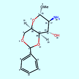 CO[C@H]1O[C@@H]2COC(c3ccccc3)O[C@@H]2[C@@H](O)[C@@H]1N